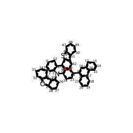 c1ccc(N(c2ccc(-c3cc4ccccc4c4ccccc34)cc2)c2cccc3oc4ccccc4c23)c(-c2cccc3c2sc2ccccc23)c1